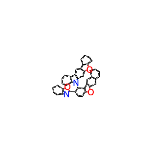 c1ccc2cc3c(cc2c1)oc1ccc(-c2nc4ccccc4o2)c(-n2c4ccccc4c4cc5c(cc42)oc2ccccc25)c13